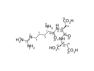 NC(N)=NCCC[C@H](N)C(=O)N[C@@H](CC(=O)O)C(=O)N[C@@H](CC(=O)O)C(=O)O